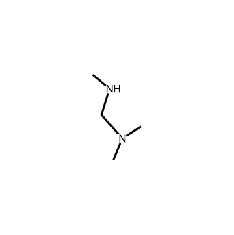 CNCN(C)C